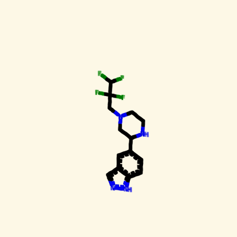 FC(F)C(F)(F)CN1CCNC(c2ccc3[nH]ncc3c2)C1